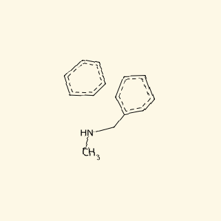 CNCc1ccccc1.c1ccccc1